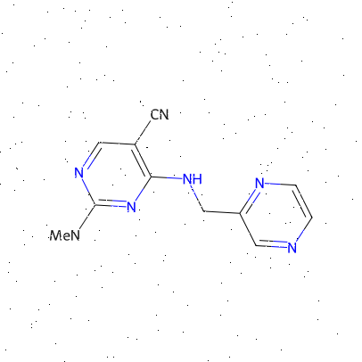 CNc1ncc(C#N)c(NCc2cnccn2)n1